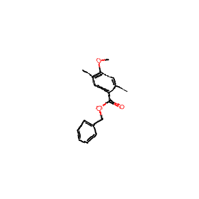 COc1cc(C)c(C(=O)OCc2ccccc2)cc1C